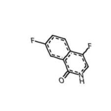 O=c1[nH]cc(F)c2ccc(F)cc12